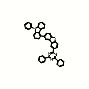 c1ccc(-c2nc(-c3ccccc3)nc(-c3ccc4sc5ccc(-c6cccc7c6c6ccccc6n7-c6ccccc6)cc5c4c3)n2)cc1